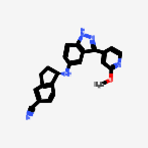 COc1cc(-c2n[nH]c3ccc(N[C@@H]4CCc5cc(C#N)ccc54)cc23)ccn1